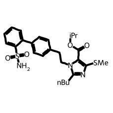 CCCCc1nc(SC)c(C(=O)OC(C)C)n1CCc1ccc(-c2ccccc2S(N)(=O)=O)cc1